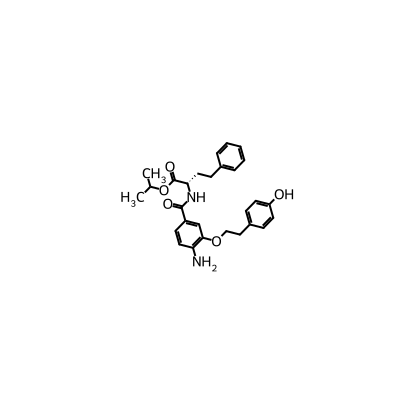 CC(C)OC(=O)[C@H](CCc1ccccc1)NC(=O)c1ccc(N)c(OCCc2ccc(O)cc2)c1